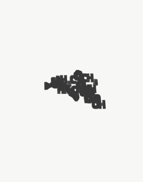 Cc1cccc(C)c1-c1cc(OC[C@@H](CC23CC(C2)C3)NCc2cnc3sc(C4CC4)cc3n2)nc(NS(=O)(=O)c2cccc(C(=O)O)c2)n1